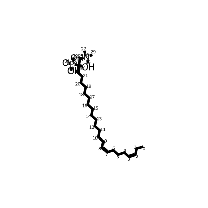 CC/C=C\CCC/C=C\CCCCCCCCCCCCCCC(O)(C[N+](C)(C)C)P(=O)(O)O